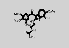 COc1cc(C(=O)c2c(NCCNC(N)=O)oc3c(O)c(OC)ccc23)cc(OC)c1OC